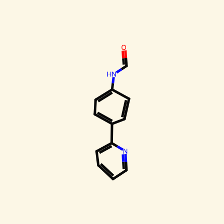 O=CNc1ccc(-c2ccccn2)cc1